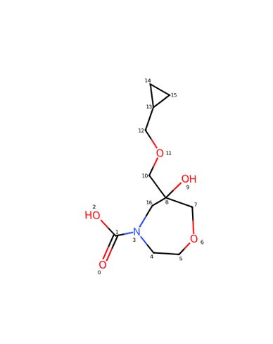 O=C(O)N1CCOCC(O)(COCC2CC2)C1